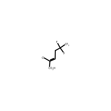 O=C(O)C(Cl)=CCC(F)(F)C(F)(F)F